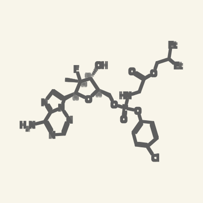 CCC(CC)COC(=O)CNP(=O)(OC[C@H]1O[C@@H](c2cnc3c(N)ncnn23)[C@](C)(F)[C@@H]1O)Oc1ccc(Cl)cc1